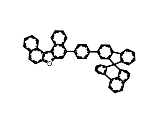 c1ccc2c(c1)-c1ccc(-c3ccc(-c4cc5oc6ccc7ccccc7c6c5c5ccccc45)cc3)cc1C21c2ccccc2-c2cccc3cccc1c23